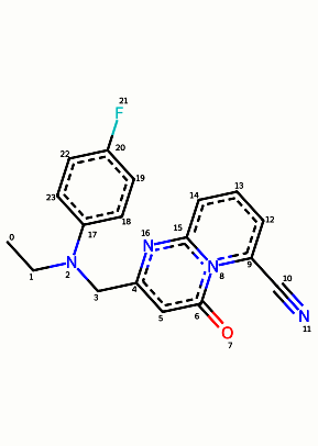 CCN(Cc1cc(=O)n2c(C#N)cccc2n1)c1ccc(F)cc1